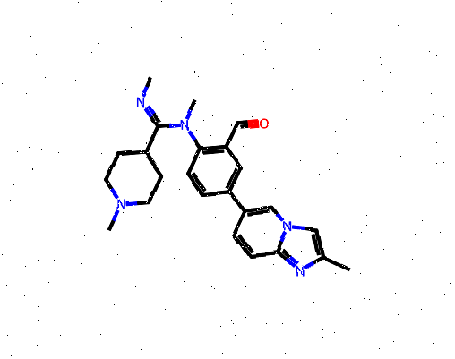 C/N=C(/C1CCN(C)CC1)N(C)c1ccc(-c2ccc3nc(C)cn3c2)cc1C=O